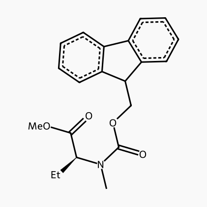 CC[C@@H](C(=O)OC)N(C)C(=O)OCC1c2ccccc2-c2ccccc21